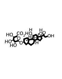 C[C@]12CC[C@@H](O[C@@H]3O[C@H](C(=O)O)[C@@H](O)[C@H](O)[C@H]3O)CC1CC[C@@H]1[C@@H]2[C@H](O)C[C@@]2(C)[C@H]1CC[C@]2(O)C(=O)CO